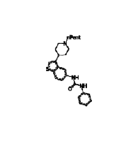 CCCCCN1CCC(c2csc3ccc(NC(=O)Nc4ccccc4)cc23)CC1